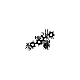 CS(=O)(=O)c1ccc(-c2ccc3c(N[C@H]4CN5CCC4CC5)c(-c4nc5ccccc5[nH]4)c(=O)[nH]c3c2)cc1